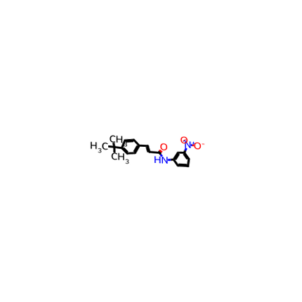 CC(C)(C)c1ccc(/C=C/C(=O)Nc2cccc([N+](=O)[O-])c2)cc1